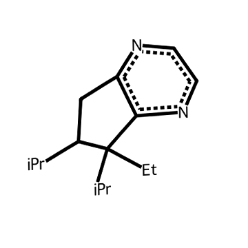 CCC1(C(C)C)c2nccnc2CC1C(C)C